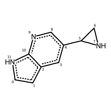 c1cc2cc(C3CN3)cnc2[nH]1